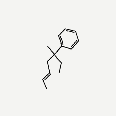 [CH2]C=CCC(C)(CC)c1ccccc1